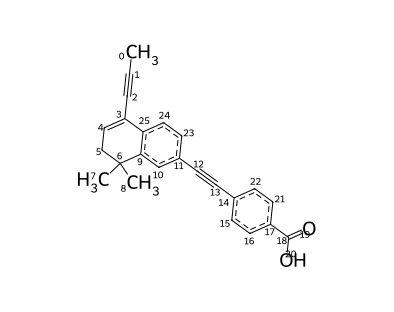 CC#CC1=CCC(C)(C)c2cc(C#Cc3ccc(C(=O)O)cc3)ccc21